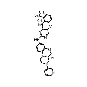 CP(C)(=O)c1ccccc1Nc1nc(Nc2ccc3c(c2)OC[C@H]2CN(c4cccnc4)CCN32)ncc1Cl